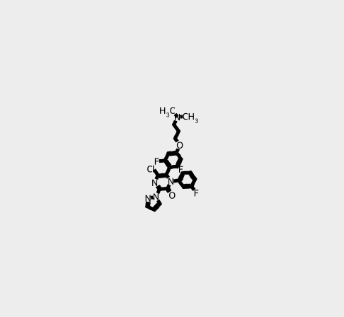 CN(C)CCCOc1cc(F)c(-c2c(Cl)nc(-n3cccn3)c(=O)n2-c2cccc(F)c2)c(F)c1